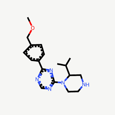 COCc1ccc(-c2ncnc(N3CCNCC3C(C)C)n2)cc1